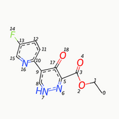 CCOC(=O)c1n[nH]cc(-c2ccc(F)cn2)c1=O